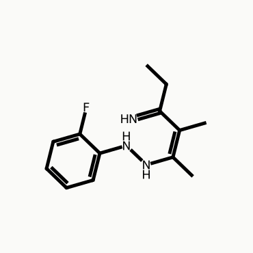 CCC(=N)C(C)=C(C)NNc1ccccc1F